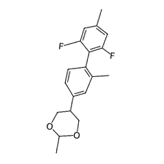 Cc1cc(F)c(-c2ccc(C3COC(C)OC3)cc2C)c(F)c1